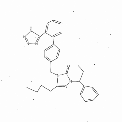 CCCCc1nn(C(CC)c2ccccc2)c(=O)n1Cc1ccc(-c2ccccc2-c2nnn[nH]2)cc1